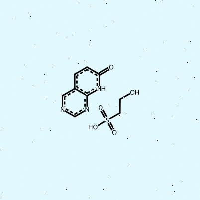 O=S(=O)(O)CCO.O=c1ccc2cncnc2[nH]1